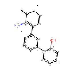 CC1CC=CC(c2cccc(-c3ccccc3O)c2)=C1N